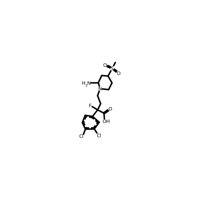 CS(=O)(=O)C1CCN(CCC(F)(C(=O)O)c2ccc(Cl)c(Cl)c2)C(N)C1